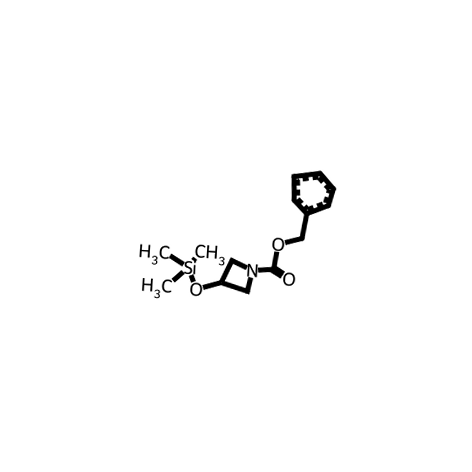 C[Si](C)(C)OC1CN(C(=O)OCc2ccccc2)C1